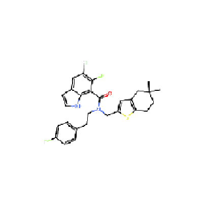 CC1(C)CCc2sc(CN(CCc3ccc(F)cc3)C(=O)c3c(F)c(Cl)cc4cc[nH]c34)cc2C1